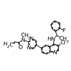 C=CC(=O)N(C)c1ncc(-c2ccc3ncc(Cl)c(NC(C)c4ccccc4F)c3c2)cn1